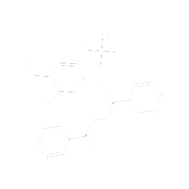 CC(C)(C)[Si](C)(C)Oc1ccc(Cl)c(CBr)c1.O=C(OOC(=O)c1ccccc1)c1ccccc1